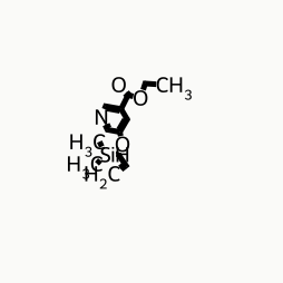 C=CC(Oc1cncc(C(=O)OCC)c1)[SiH](C)C